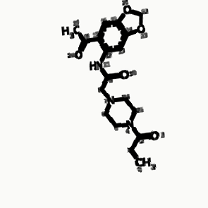 CCC(=O)N1CCN(CC(=O)Nc2cc3c(cc2C(C)=O)OCO3)CC1